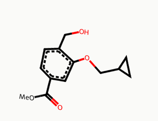 COC(=O)c1ccc(CO)c(OCC2CC2)c1